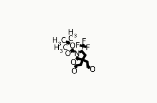 CC(C)(C)OC(=O)N1C(=O)C(CC=O)(CC=O)C[C@H]1C(F)(F)F